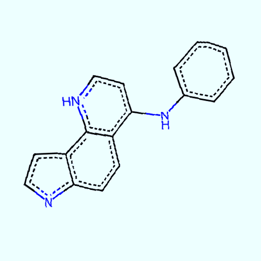 c1ccc(Nc2cc[nH]c3c2ccc2nccc23)cc1